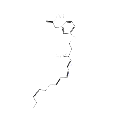 C=C(O)Cc1cccc(OCC[C@H](O)/C=C/C=C\C=C\CC/C=C\CC)c1